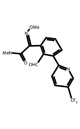 CNC(=O)/C(=N/OC)c1cccc(-c2ccc(C(F)(F)F)cn2)c1C=O